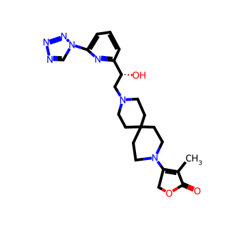 CC1=C(N2CCC3(CCN(C[C@@H](O)c4cccc(-n5cnnn5)n4)CC3)CC2)COC1=O